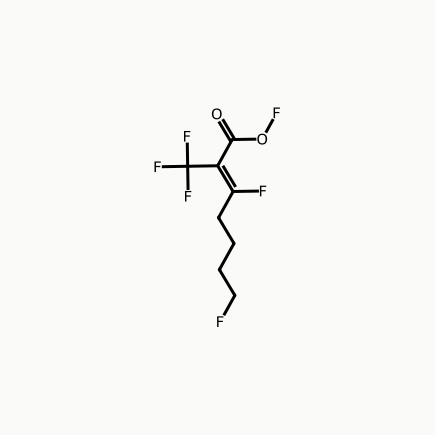 O=C(OF)C(=C(F)CCCCF)C(F)(F)F